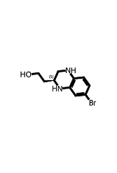 OCC[C@H]1CNc2ccc(Br)cc2N1